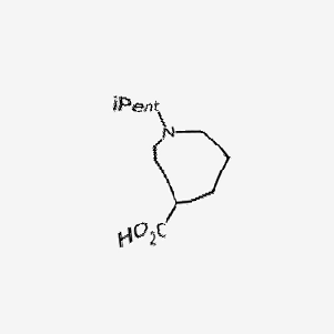 CCCC(C)N1CCCC(C(=O)O)C1